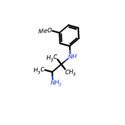 COc1cccc(NC(C)(C)C(C)N)c1